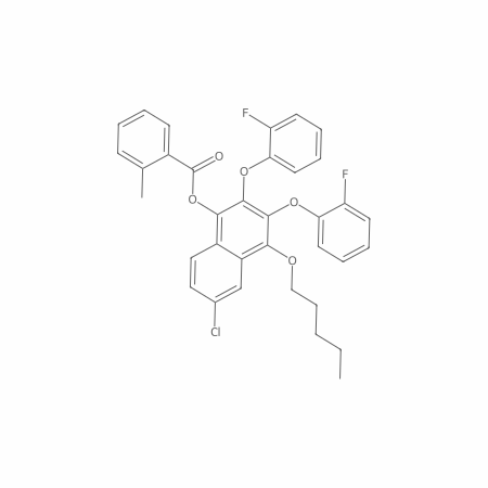 CCCCCOc1c(Oc2ccccc2F)c(Oc2ccccc2F)c(OC(=O)c2ccccc2C)c2ccc(Cl)cc12